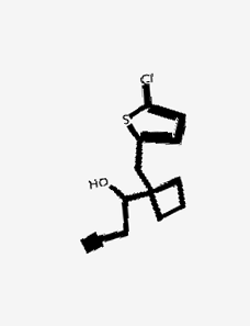 C#CCC(O)C1(Cc2ccc(Cl)s2)CCC1